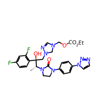 CCOC(=O)OCN1C=NN(C[C@@](O)(c2ccc(F)cc2F)[C@@H](C)N2CCN(c3ccc(-n4ccnn4)cc3)C2=O)C1